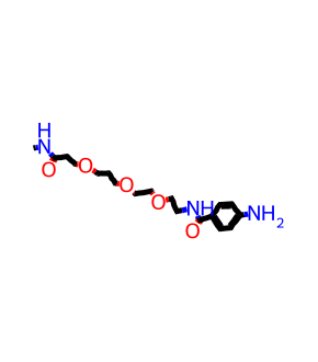 CNC(=O)CCOCCCOCCOCCNC(=O)c1ccc(N)cc1